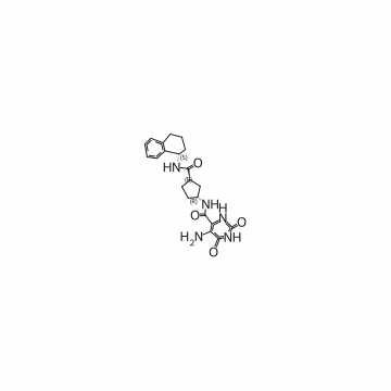 Nc1c(C(=O)N[C@@H]2CC[C@@H](C(=O)N[C@H]3CCCc4ccccc43)C2)[nH]c(=O)[nH]c1=O